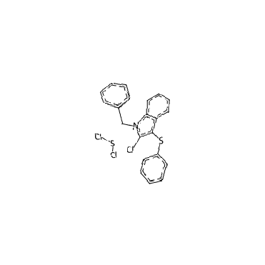 ClSCl.Clc1c(Sc2ccccc2)c2ccccc2n1Cc1ccccc1